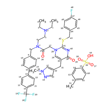 CCN(CC)CCN(Cc1ccc(-c2ccc(C(F)(F)F)cc2)cc1)C(=O)Cn1cc(Cc2cnn(C)c2)c(=O)nc1SCc1ccc(F)cc1.Cc1ccc(S(=O)(=O)O)cc1